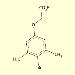 CCOC(=O)COc1cc(C)c(Br)c(C)c1